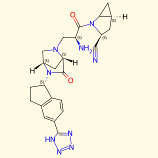 N#C[C@@H]1C[C@@H]2CC2N1C(=O)[C@@H](N)CN1C[C@@H]2C[C@H]1C(=O)N2[C@H]1CCc2cc(-c3nnn[nH]3)ccc21